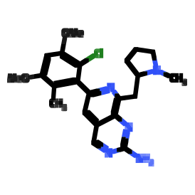 COc1cc(OC)c(Cl)c(-c2cc3cnc(N)nc3c(CC3CCCN3C)n2)c1C